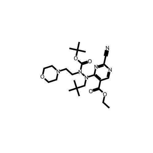 CCOC(=O)c1cnc(C#N)nc1N(CC(C)(C)C)N(CCN1CCOCC1)C(=O)OC(C)(C)C